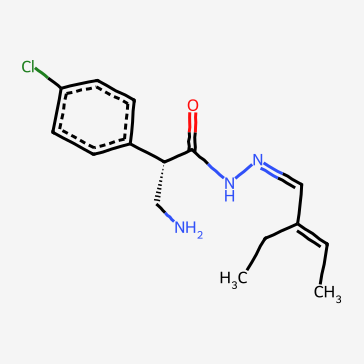 C/C=C(/C=N\NC(=O)[C@H](CN)c1ccc(Cl)cc1)CC